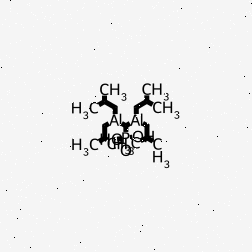 CC(C)[CH2][Al]([CH2]C(C)C)[CH]([Al]([CH2]C(C)C)[CH2]C(C)C)P(=O)(O)O